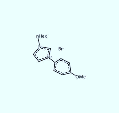 CCCCCCn1cc[n+](-c2ccc(OC)cc2)c1.[Br-]